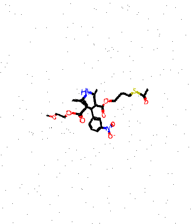 COCCOC(=O)C1=C(C)NC(C)=C(C(=O)OCCCSC(C)=O)C1c1cccc([N+](=O)[O-])c1